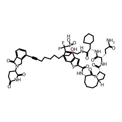 NC(=O)CC[C@H](NC(=O)[C@@H]1CC[C@@H]2CCCC[C@H](NC(=O)c3cc4cc(C(F)(F)P(=O)(O)O)ccc4s3)C(=O)N21)C(=O)N[C@H](C(=O)NCCCCCCCCCC#Cc1cccc2c1CN(C1CCC(=O)NC1=O)C2=O)C1CCCCC1